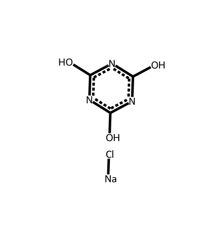 Oc1nc(O)nc(O)n1.[Na][Cl]